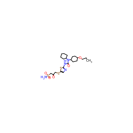 CCCOC1CCC(N(C(=O)Nc2ncc(SCC(=O)CS(N)(=O)=O)s2)C2CCCCC2)CC1